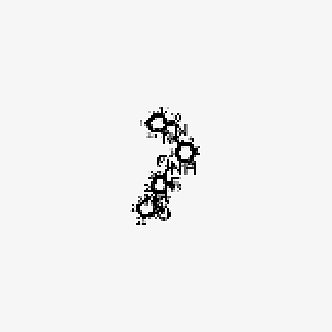 O=C(Nc1cccc(-c2ncc3ccccc3n2)c1)c1ccc(N2CCCCS2(=O)=O)cc1F